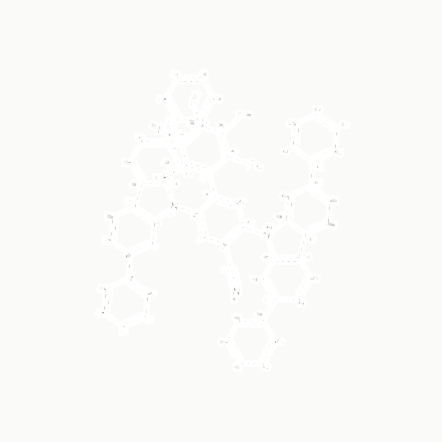 N#Cc1cc(-n2c3cc(-c4ccccc4)ccc3c3ccc(-c4ccccc4)cc32)c(-c2c(F)c(F)c(F)c(F)c2F)cc1-n1c2cc(-c3ccccc3)ccc2c2ccc(-c3ccccc3)cc21